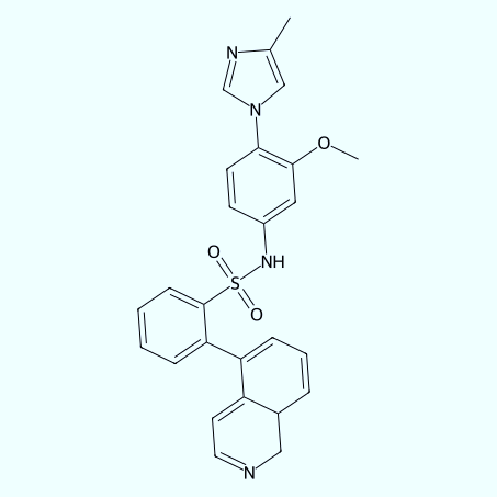 COc1cc(NS(=O)(=O)c2ccccc2C2=CC=CC3CN=CC=C23)ccc1-n1cnc(C)c1